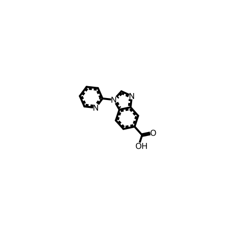 O=C(O)c1ccc2c(c1)ncn2-c1ccccn1